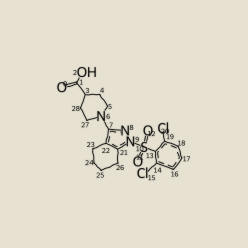 O=C(O)C1CCN(c2nn(S(=O)(=O)c3c(Cl)cccc3Cl)c3c2CCCC3)CC1